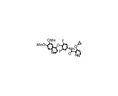 COc1cc2nccc(Oc3c(F)cc(NC(=O)c4nnccc4OC4CC4)cc3F)c2cc1OC